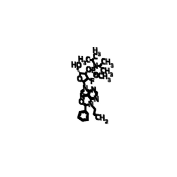 C=CCN(C(=O)c1ccccc1)c1ncnc2c1ncn2C1O[C@H](CO)[C@@H](OP(OC)N(C(C)C)C(C)C)[C@H]1F